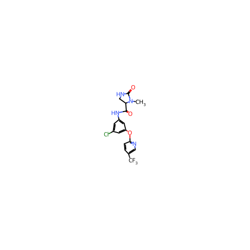 CN1C(=O)NCC1C(=O)Nc1cc(Cl)cc(Oc2ccc(C(F)(F)F)cn2)c1